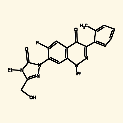 CCn1c(CO)nn(-c2cc3c(cc2F)c(=O)c(-c2ccccc2C)nn3C(C)C)c1=O